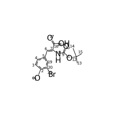 COc1ccc(C=C(NC(=O)OC(C)(C)C)C(=O)O)cc1Br